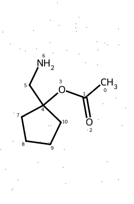 CC(=O)OC1(CN)CCCC1